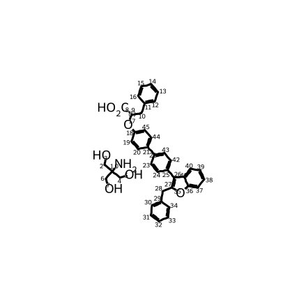 NC(CO)(CO)CO.O=C(O)[C@H](Cc1ccccc1)Oc1ccc(-c2ccc(-c3c(Cc4ccccc4)oc4ccccc34)cc2)cc1